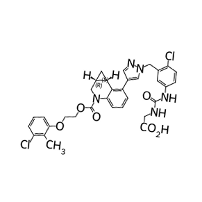 Cc1c(Cl)cccc1OCCOC(=O)N1C[C@@H]2C[C@@H]2c2c(-c3cnn(Cc4cc(NC(=O)NCC(=O)O)ccc4Cl)c3)cccc21